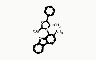 Cc1ccc2c(oc3ccccc32)c1N1C(C(C)(C)C)SC(c2ccccc2)[C@@H]1C